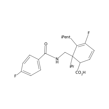 CCCC(C)C1=C(F)C=CC(C(=O)O)C1(CNC(=O)c1ccc(F)cc1)C(C)C